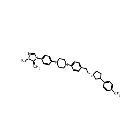 C=C1N(c2ccc(N3CCN(c4ccc(CC[C@@H]5CCC(c6ccc(C(F)(F)F)cc6)C5)cc4)CC3)cc2)C=NN1C(C)CC